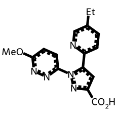 CCc1ccc(-c2cc(C(=O)O)nn2-c2ccc(OC)nn2)nc1